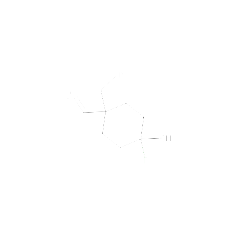 C=CC1(CC(C)C)CCC(C)(F)CC1